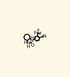 N#Cc1ccc(N2C(=O)N[C@@H]3CCCCC[C@H]32)cc1C(F)(F)F